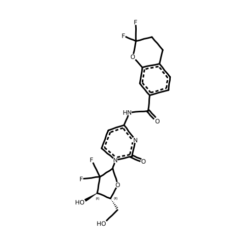 O=C(Nc1ccn(C2O[C@H](CO)[C@@H](O)C2(F)F)c(=O)n1)c1ccc2c(c1)OC(F)(F)CC2